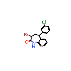 O=C1Nc2ccccc2C(c2cccc(Cl)c2)CC1Br